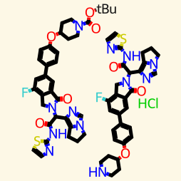 CC(C)(C)OC(=O)N1CCC(Oc2ccc(-c3cc(F)c4c(c3)C(=O)N(C(C(=O)Nc3nccs3)c3ncn5c3CCC5)C4)cc2)CC1.Cl.O=C(Nc1nccs1)C(c1ncn2c1CCC2)N1Cc2c(F)cc(-c3ccc(OC4CCNCC4)cc3)cc2C1=O